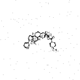 CN1CCC(C(=O)ONC2(C)C=C3CC[C@H]4[C@H](CC[C@]5(C)C(c6cccnc6)=CC[C@@H]45)[C@@]3(C)CC2)CC1